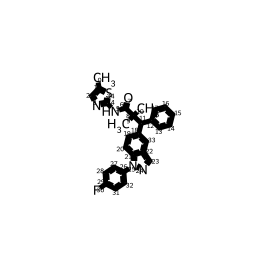 Cc1cnc(NC(=O)C(C)(C)C(c2ccccc2)c2ccc3c(cnn3-c3ccc(F)cc3)c2)s1